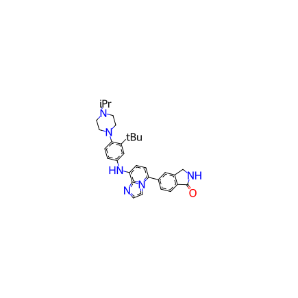 CC(C)N1CCN(c2ccc(Nc3ccc(-c4ccc5c(c4)CNC5=O)n4ccnc34)cc2C(C)(C)C)CC1